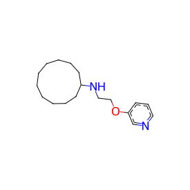 c1cncc(OCCNC2CCCCCCCCCC2)c1